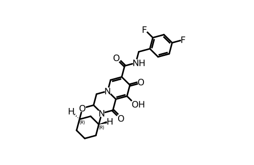 O=C(NCc1ccc(F)cc1F)c1cn2c(c(O)c1=O)C(=O)N1C(C2)O[C@@H]2CCC[C@@H]1C2